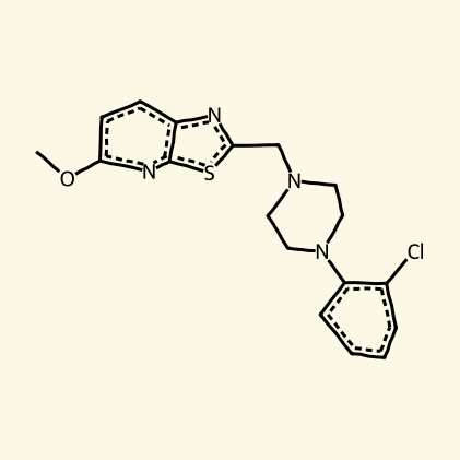 COc1ccc2nc(CN3CCN(c4ccccc4Cl)CC3)sc2n1